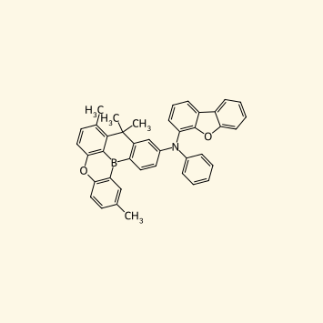 Cc1ccc2c(c1)B1c3ccc(N(c4ccccc4)c4cccc5c4oc4ccccc45)cc3C(C)(C)c3c(C)ccc(c31)O2